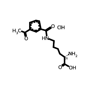 CC(=O)c1cccc(C(=O)NCCCC[C@H](N)C(=O)O)c1.Cl